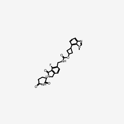 Cn1cnc2cccc(C3CC(OC(=O)NCc4ccc5c(c4F)C(=O)N([C@H]4CCC(=O)NC4=O)C5)C3)c21